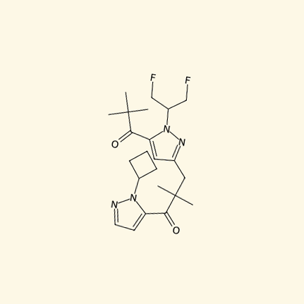 CC(C)(C)C(=O)c1cc(CC(C)(C)C(=O)c2ccnn2C2CCC2)nn1C(CF)CF